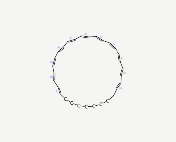 [C]1=C/C=C/C=C\C=C\C=C\C=C\C=C\C=C/C=C/C=C/C=C/CCCCCCCC/1